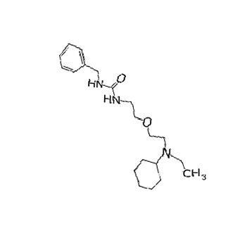 CCN(CCOCCNC(=O)NCc1ccccc1)C1CCCCC1